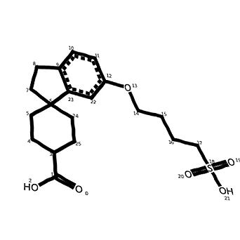 O=C(O)C1CCC2(CCc3ccc(OCCCCS(=O)(=O)O)cc32)CC1